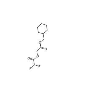 O=C(COC(=O)C(F)F)OCC1CCCCC1